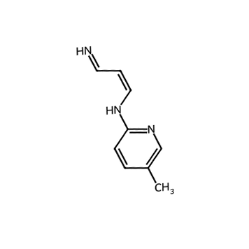 Cc1ccc(N/C=C\C=N)nc1